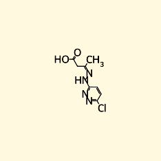 CC(CC(=O)O)=NNc1ccc(Cl)nn1